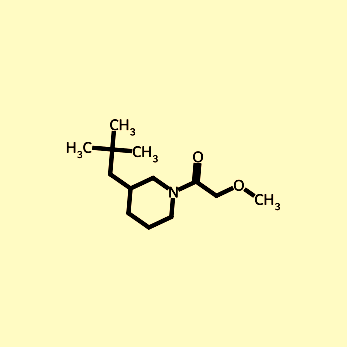 COCC(=O)N1CCCC(CC(C)(C)C)C1